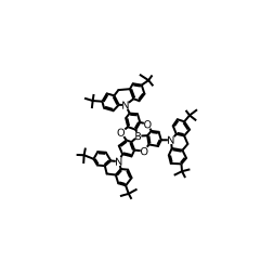 CC(C)(C)c1ccc2c(c1)Cc1cc(C(C)(C)C)ccc1N2c1cc2c3c(c1)Oc1cc(N4c5ccc(C(C)(C)C)cc5Cc5cc(C(C)(C)C)ccc54)cc4c1B3c1c(cc(N3c5ccc(C(C)(C)C)cc5Cc5cc(C(C)(C)C)ccc53)cc1O4)O2